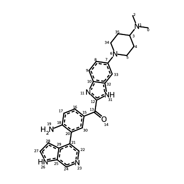 CN(C)C1CCN(c2ccc3nc(C(=O)c4ccc(N)c(-c5cncc6[nH]ccc56)c4)[nH]c3c2)CC1